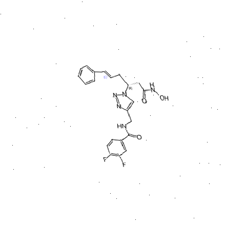 O=C(C[C@@H](C/C=C/c1ccccc1)n1cc(CNC(=O)c2ccc(F)c(F)c2)nn1)NO